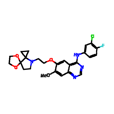 COc1cc2ncnc(Nc3ccc(F)c(Cl)c3)c2cc1OCCN1CCC2(OCCO2)C12CC2